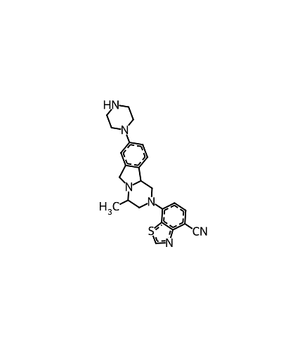 CC1CN(c2ccc(C#N)c3ncsc23)CC2c3ccc(N4CCNCC4)cc3CN12